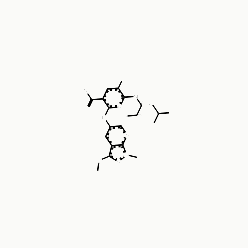 COc1nn(C)c2ncc(Nc3nc(N[C@H](CC(C)C)[C@H](C)N)c(F)cc3C(N)=O)cc12